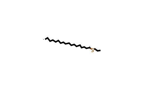 [CH2]CCCCCCCCCCCCCCCC[CH]SCCC